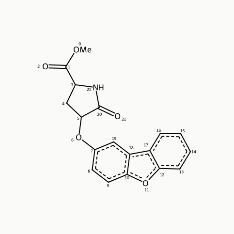 COC(=O)C1CC(Oc2ccc3oc4ccccc4c3c2)C(=O)N1